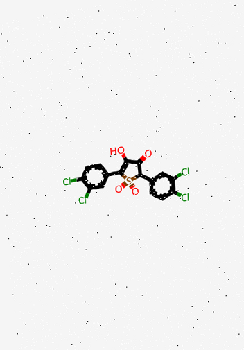 O=C1C(O)=C(c2ccc(Cl)c(Cl)c2)S(=O)(=O)C1c1ccc(Cl)c(Cl)c1